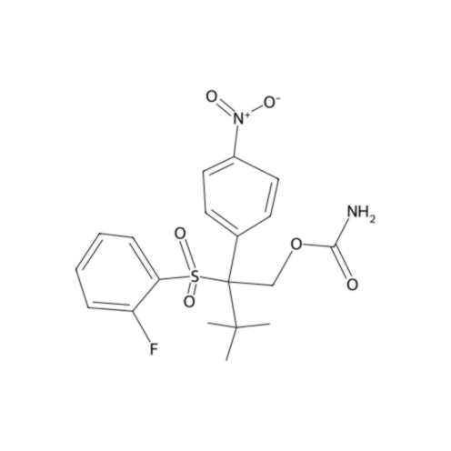 CC(C)(C)C(COC(N)=O)(c1ccc([N+](=O)[O-])cc1)S(=O)(=O)c1ccccc1F